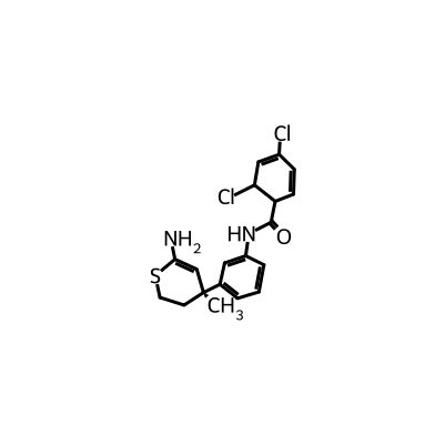 C[C@]1(c2cccc(NC(=O)C3C=CC(Cl)=CC3Cl)c2)C=C(N)SCC1